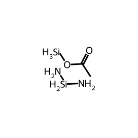 CC(=O)O[SiH3].N[SiH2]N